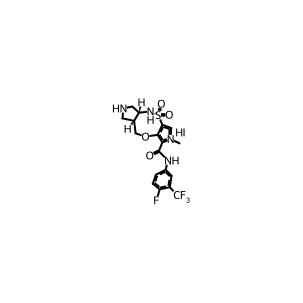 Cn1cc2c(c1C(=O)Nc1ccc(F)c(C(F)(F)F)c1)OC[C@@H]1CNC[C@@H]1NS2(=O)=O.I